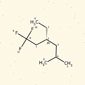 CC[C@H](CC(C)C)CC(F)(F)F